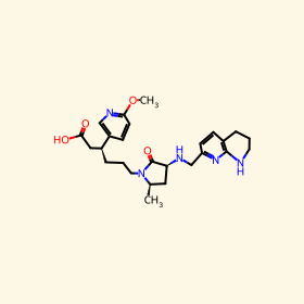 COc1ccc([C@@H](CCCN2C(=O)[C@@H](NCc3ccc4c(n3)NCCC4)C[C@H]2C)CC(=O)O)cn1